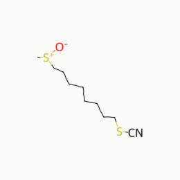 C[S+]([O-])CCCCCCCCSC#N